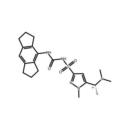 C[C@H](c1cc(S(=O)(=O)NC(=O)Nc2c3c(cc4c2CCC4)CCC3)nn1C)N(C)C